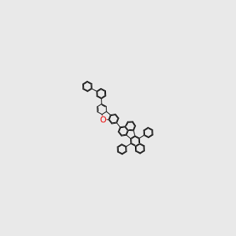 C1=CC2Oc3cc(-c4ccc5c6c(cccc46)-c4c-5c(-c5ccccc5)c5ccccc5c4-c4ccccc4)ccc3C2C=C1c1cccc(-c2ccccc2)c1